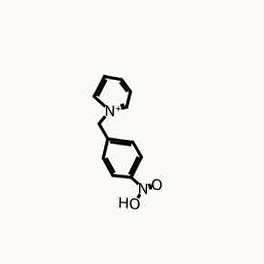 O=[N+](O)c1ccc(C[n+]2ccccc2)cc1